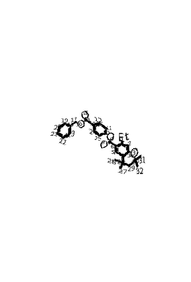 CCc1cc2c(cc1C(=O)Oc1ccc(C(=O)OCc3ccccc3)cc1)C(C)(C)CC(C)(C)O2